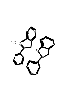 O.c1ccc(C2Cc3ccccc3O2)cc1.c1ccc(C2Cc3ccccc3O2)cc1